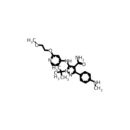 CNc1ccc(-c2nn(C(C)(C)C)c(Nc3ccnc(OCCOC)c3)c2C(N)=O)cc1